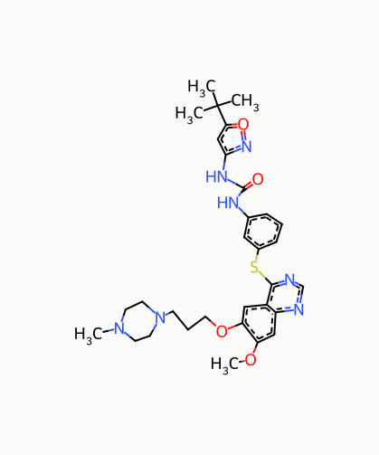 COc1cc2ncnc(Sc3cccc(NC(=O)Nc4cc(C(C)(C)C)on4)c3)c2cc1OCCCN1CCN(C)CC1